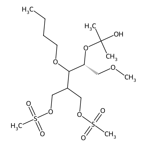 CCCCOC(C(COS(C)(=O)=O)COS(C)(=O)=O)[C@@H](COC)OC(C)(C)O